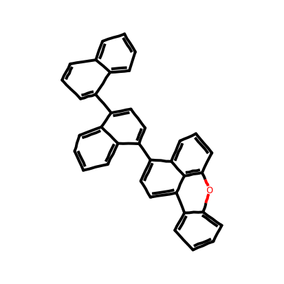 c1ccc2c(c1)Oc1cccc3c(-c4ccc(-c5cccc6ccccc56)c5ccccc45)ccc-2c13